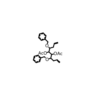 C=CCC(OCc1ccccc1)C(OC(C)=O)C(OC(C)=O)C(CC=C)OCc1ccccc1